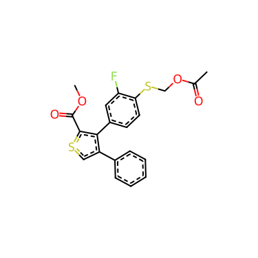 COC(=O)c1scc(-c2ccccc2)c1-c1ccc(SCOC(C)=O)c(F)c1